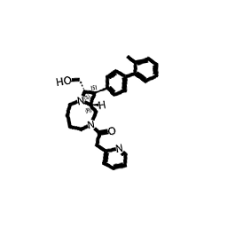 Cc1ccccc1-c1ccc([C@@H]2[C@@H](CO)N3CCCCN(C(=O)Cc4ccccn4)C[C@@H]23)cc1